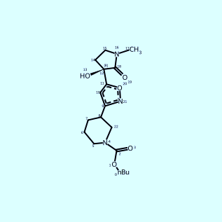 CCCCOC(=O)N1CCCC(c2cc([C@]3(O)CCN(C)C3=O)on2)C1